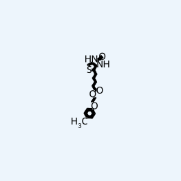 Cc1ccc(OCCOC(=O)CCCCC2SCC3NC(=O)NC32)cc1